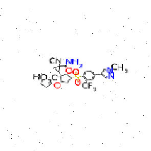 Cn1cc(-c2ccc(S(=O)(=O)[C@@H]3C[C@H](OC4CCCC4)[C@@](C(=O)O)(C4CC4(C#N)C(N)=O)C3)c(C(F)(F)F)c2)cn1